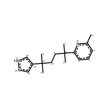 Cc1cccc(C(C)(C)CCC(C)(C)c2cn[nH]c2)n1